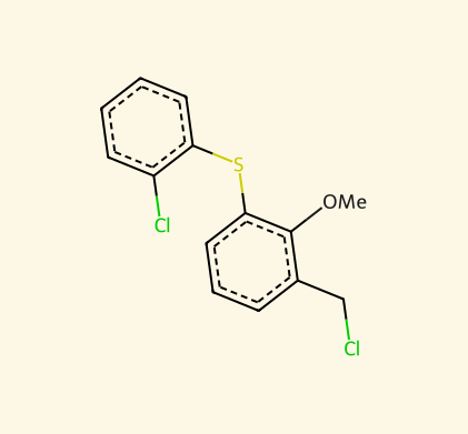 COc1c(CCl)cccc1Sc1ccccc1Cl